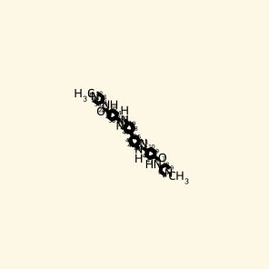 CN1CCC(NC(=O)c2ccc(-c3nc4cc(-c5ccc6[nH]c(-c7ccc(C(=O)NC8CCN(C)CC8)cc7)nc6c5)ccc4[nH]3)cc2)CC1